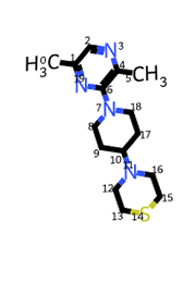 Cc1cnc(C)c(N2CCC(N3CCSCC3)CC2)n1